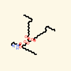 CCCCC/C=C\C/C=C\CCCCCCCC(=O)OCC(COC(=O)CCCCCCC/C=C\C/C=C\CCCCC)OC(=O)CCC(CCCCCCCCCC)OC(=O)NCC1CCCN1C